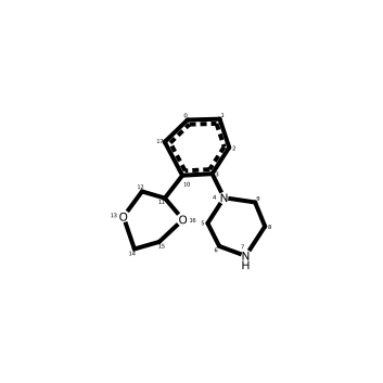 c1ccc(N2CCNCC2)c(C2COCCO2)c1